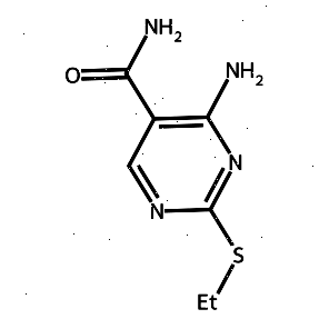 CCSc1ncc(C(N)=O)c(N)n1